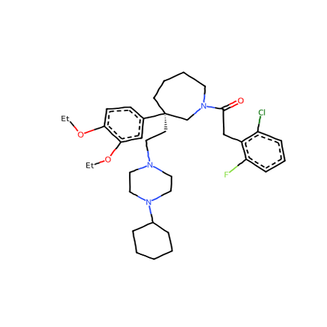 CCOc1ccc([C@@]2(CCN3CCN(C4CCCCC4)CC3)CCCCN(C(=O)Cc3c(F)cccc3Cl)C2)cc1OCC